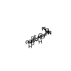 CN(C)c1ccc2cnn(C3CC(OC(=O)NCc4ccc5c(c4F)C(=O)N([C@@H]4CCC(=O)NC4=O)C5)C3)c2c1